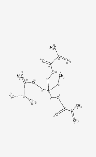 C=C(C)C(=O)OCC(CC)(COC(=C)C(C)C)COC(=O)C(=C)C